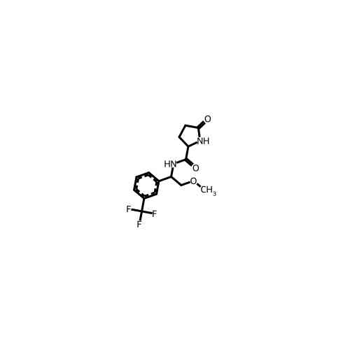 COCC(NC(=O)C1CCC(=O)N1)c1cccc(C(F)(F)F)c1